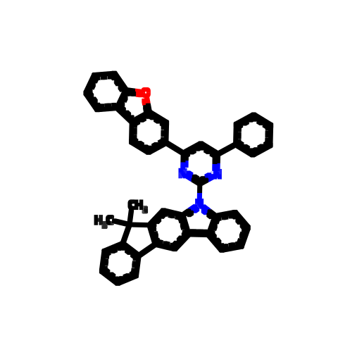 CC1(C)c2ccccc2-c2cc3c4ccccc4n(-c4nc(-c5ccccc5)cc(-c5ccc6c(c5)oc5ccccc56)n4)c3cc21